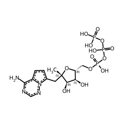 C[C@@]1(Cc2ccc3c(N)ncnn23)O[C@H](COP(=O)(O)OP(=O)(O)OP(=O)(O)O)[C@@H](O)[C@H]1O